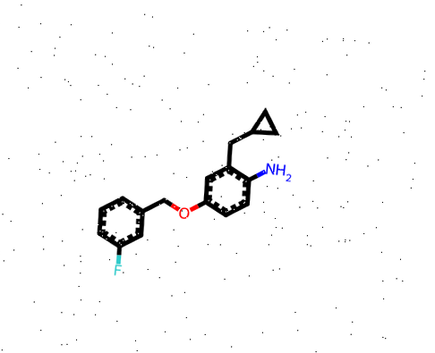 Nc1ccc(OCc2cccc(F)c2)cc1CC1CC1